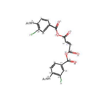 CC(=O)Nc1ccc(C(=O)OC(=O)/C=C/C(=O)OC(=O)c2ccc(NC(C)=O)c(F)c2)cc1F